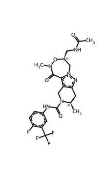 CC(=O)NC[C@H]1Cn2nc3c(c2C(=O)N(C)O1)CN(C(=O)Nc1ccc(F)c(C(F)(F)F)c1)[C@H](C)C3